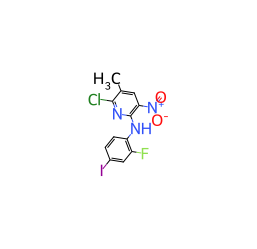 Cc1cc([N+](=O)[O-])c(Nc2ccc(I)cc2F)nc1Cl